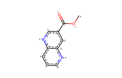 COC(=O)c1cnc2cccnc2c1